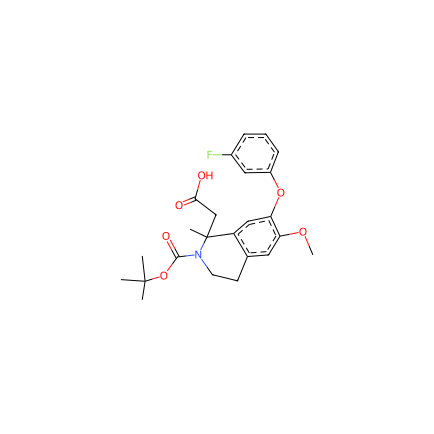 COc1cc2c(cc1Oc1cccc(F)c1)C(C)(CC(=O)O)N(C(=O)OC(C)(C)C)CC2